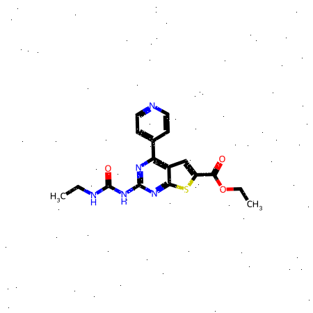 CCNC(=O)Nc1nc(-c2ccncc2)c2cc(C(=O)OCC)sc2n1